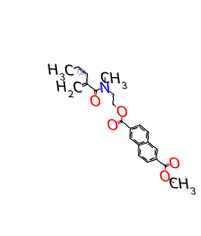 C=C(/C=C\C)C(=O)N(C)CCOC(=O)c1ccc2cc(C(=O)OC)ccc2c1